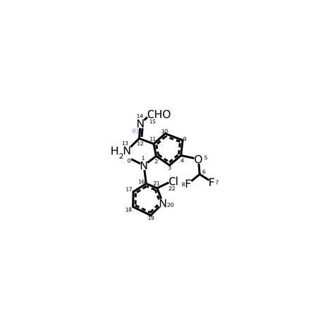 CN(c1cc(OC(F)F)ccc1/C(N)=N\C=O)c1cccnc1Cl